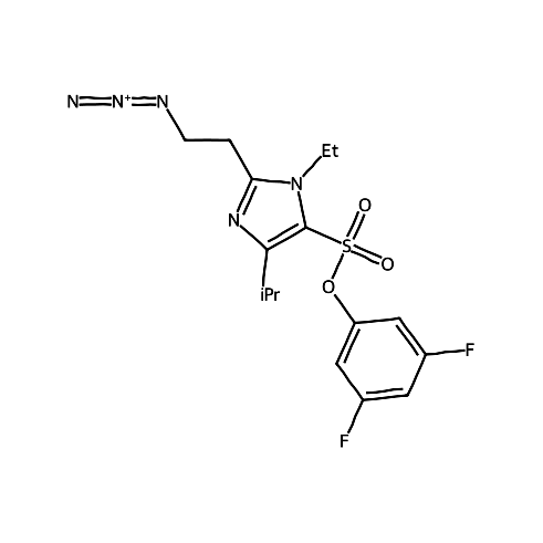 CCn1c(CCN=[N+]=[N-])nc(C(C)C)c1S(=O)(=O)Oc1cc(F)cc(F)c1